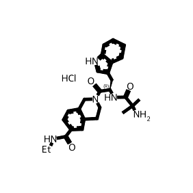 CCNC(=O)c1ccc2c(c1)CCN(C(=O)[C@@H](Cc1c[nH]c3ccccc13)NC(=O)C(C)(C)N)C2.Cl